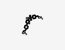 C=Cc1ccc(S(=O)(=O)Nc2ccc(N3CCN(CCC)CC3)nc2)cc1